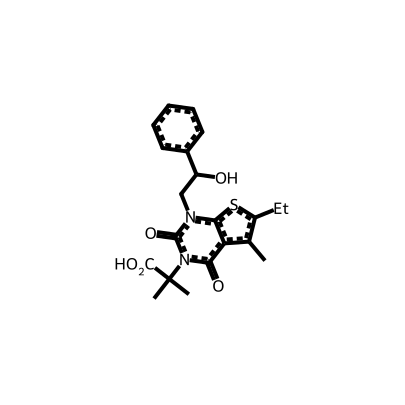 CCc1sc2c(c1C)c(=O)n(C(C)(C)C(=O)O)c(=O)n2CC(O)c1ccccc1